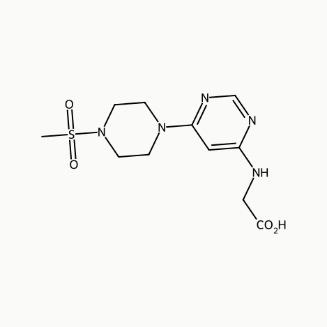 CS(=O)(=O)N1CCN(c2cc(NCC(=O)O)ncn2)CC1